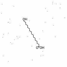 O=C(O)CCCCCCCCCCCCCCCCO